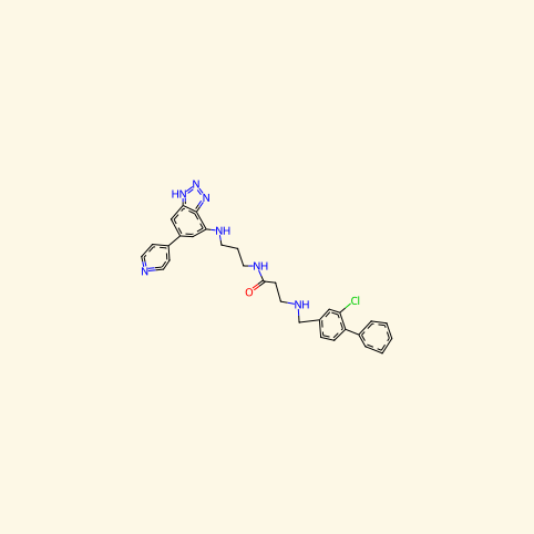 O=C(CCNCc1ccc(-c2ccccc2)c(Cl)c1)NCCCNc1cc(-c2ccncc2)cc2[nH]nnc12